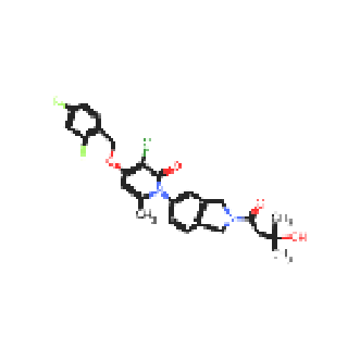 Cc1cc(OCc2ccc(F)cc2F)c(Cl)c(=O)n1-c1ccc2c(c1)CN(C(=O)CC(C)(C)O)C2